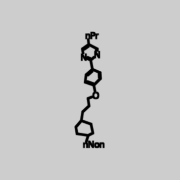 CCCCCCCCCC1CCC(CCCOc2ccc(-c3ncc(CCC)cn3)cc2)CC1